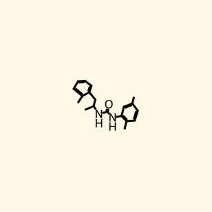 Cc1ccc(C)c(NC(=O)NC(C)Cc2ccccc2C)c1